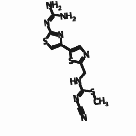 CSC(=NC#N)NCc1ncc(-c2csc(N=C(N)N)n2)s1